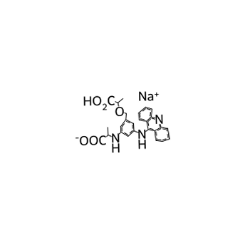 CC(Nc1cc(COC(C)C(=O)O)cc(Nc2c3ccccc3nc3ccccc23)c1)C(=O)[O-].[Na+]